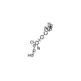 CC(C)(c1ccc(-c2ccc3nc(NS(C)(=O)=O)ncc3c2)cc1)c1cc(Cl)c(OCCOCCO)c(C#N)c1